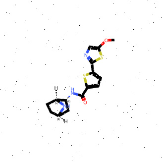 COc1cnc(-c2ccc(C(=O)N[C@@H]3C[C@H]4CC[C@@H]3N4)s2)s1